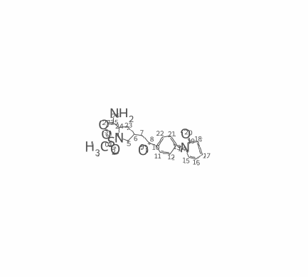 CS(=O)(=O)N1CC(CC(=O)c2ccc(-n3ccccc3=O)cc2)[CH]C1C(N)=O